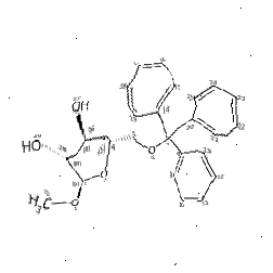 CO[C@@H]1O[C@@H](COC(c2ccccc2)(c2ccccc2)c2ccccc2)[C@H](O)[C@H]1O